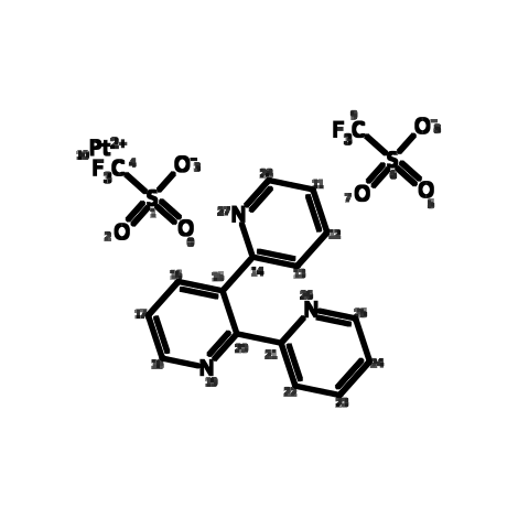 O=S(=O)([O-])C(F)(F)F.O=S(=O)([O-])C(F)(F)F.[Pt+2].c1ccc(-c2cccnc2-c2ccccn2)nc1